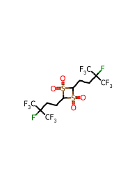 O=S1(=O)C(CCC(F)(C(F)(F)F)C(F)(F)F)S(=O)(=O)C1CCC(F)(C(F)(F)F)C(F)(F)F